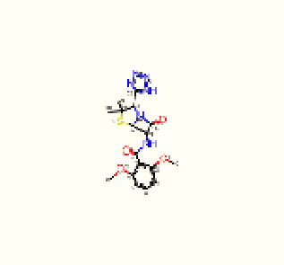 COc1cccc(OC)c1C(=O)NC1C(=O)N2C1SC(C)(C)C2c1nnn[nH]1